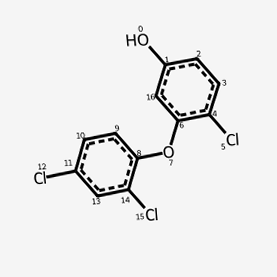 Oc1ccc(Cl)c(Oc2ccc(Cl)cc2Cl)c1